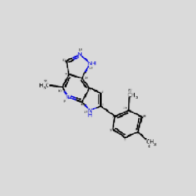 Cc1ccc(-c2cc3c(nc(C)c4cn[nH]c43)[nH]2)c(C)c1